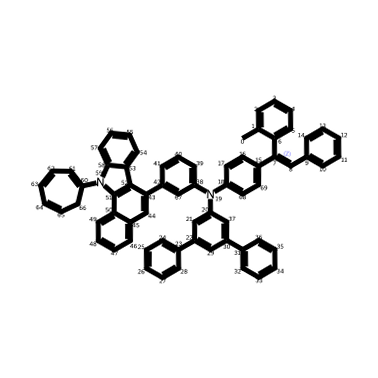 Cc1ccccc1/C(=C\c1ccccc1)c1ccc(N(c2cc(-c3ccccc3)cc(-c3ccccc3)c2)c2cccc(-c3cc4ccccc4c4c3c3ccccc3n4C3=CC=CC=CC3)c2)cc1